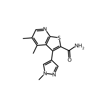 Cc1cnc2sc(C(N)=O)c(-c3cnn(C)c3)c2c1C